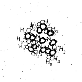 CC1(C)CCC(C)(C)c2cc(N3c4cc5c(cc4B4c6cc7c(cc6N(c6ccc8cc9c(cc8c6)C(C)(C)CCC9(C)C)c6cc(N(c8ccccc8)c8ccccc8)cc3c64)C(C)(C)CCC7(C)C)C(C)(C)CCC5(C)C)ccc21